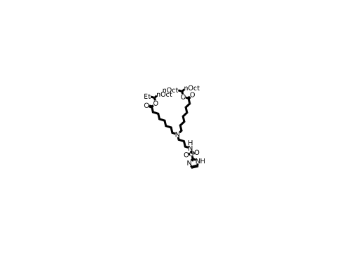 CCCCCCCCC(CC)OC(=O)CCCCCCCN(CCCCCCCC(=O)OC(CCCCCCCC)CCCCCCCC)CCCNS(=O)(=O)c1ncc[nH]1